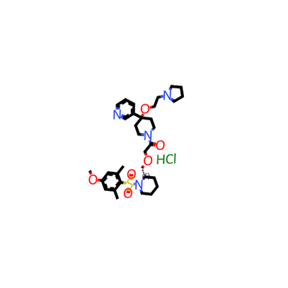 COc1cc(C)c(S(=O)(=O)N2CCCC[C@H]2COCC(=O)N2CCC(OCCN3CCCC3)(c3cccnc3)CC2)c(C)c1.Cl